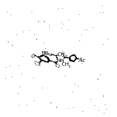 CC(=O)c1ccc(C(=S)N(C)N(C(=O)c2ccc(Cl)c(Cl)c2)C(C)C(C)(C)C)cc1